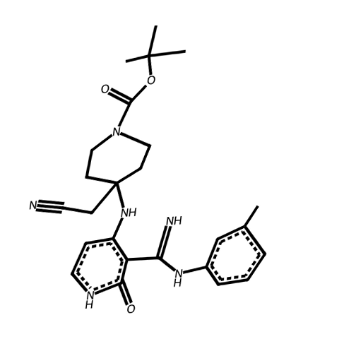 Cc1cccc(NC(=N)c2c(NC3(CC#N)CCN(C(=O)OC(C)(C)C)CC3)cc[nH]c2=O)c1